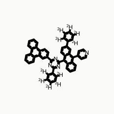 [2H]c1c([2H])c([2H])c(-c2ccc3c(-c4nc(-c5ccc6c7ccccc7c7ccccc7c6c5)nc(-c5c([2H])c([2H])c([2H])c([2H])c5[2H])n4)c4ccccc4c(-c4ccncc4)c3c2)c([2H])c1[2H]